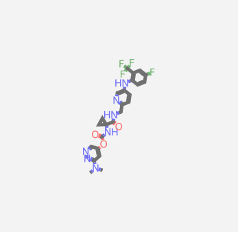 CN(C)c1cc(OC(=O)NC2(C(=O)NCc3ccc(Nc4ccc(F)cc4C(F)(F)F)cn3)CC2)cnn1